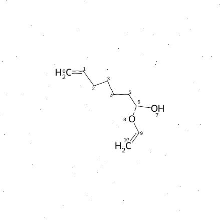 C=CCCCCC(O)OC=C